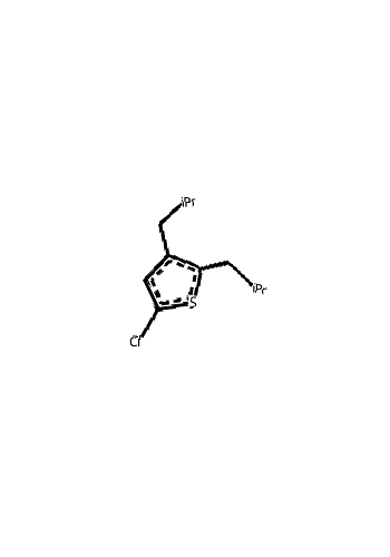 CC(C)Cc1cc(Cl)sc1CC(C)C